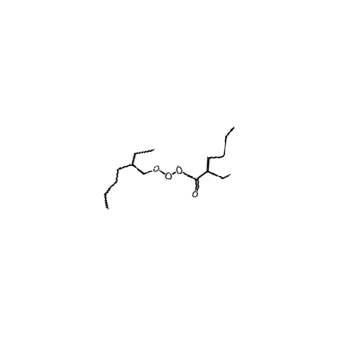 CCCCC(CC)COOOC(=O)C(CC)CCCC